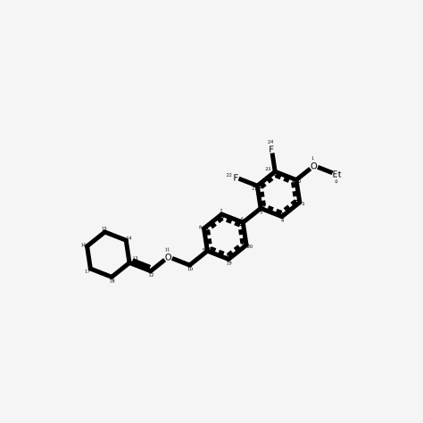 CCOc1ccc(-c2ccc(COC=C3CCCCC3)cc2)c(F)c1F